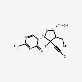 Nc1ncn([C@@H]2O[C@H](CO)C(CO)C2(F)C#CCl)c(=O)n1